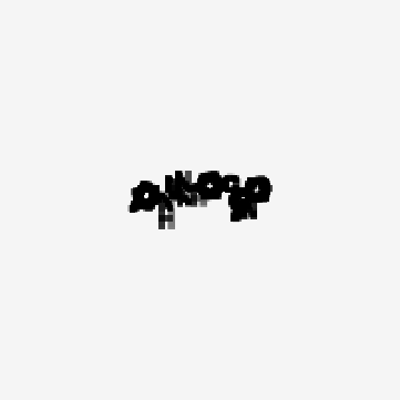 Cc1cccc(Nc2nnc(-c3ccc(Oc4cc(C)nc5ccccc45)cc3)[nH]2)c1